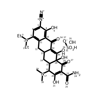 CCN(CC)c1cc([N+]#N)c(O)c2c1CC1CC3C(N(C)C)C(O)=C(C(N)=O)C(=O)C3(O)C(O)=C1C2=O.Cl.O=S(=O)([O-])O